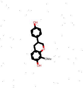 COc1c(O)ccc2c1OCC(c1ccc(O)cc1)C2